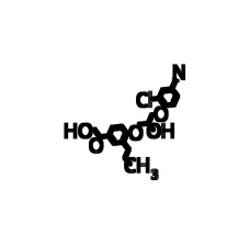 CCCc1cc(C(=O)CO)ccc1OCC(O)COc1ccc(C#N)cc1Cl